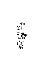 CCCCc1ccc(C(=O)[NH][Ti+2][NH]C(=O)c2ccc(CCCC)c(C)c2C)c(C)c1C.[F-].[F-]